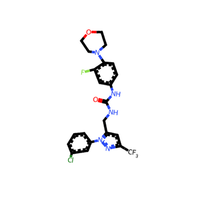 O=C(NCc1cc(C(F)(F)F)nn1-c1cccc(Cl)c1)Nc1ccc(N2CCOCC2)c(F)c1